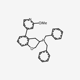 COc1cc(-c2cccc3c2CC(N(Cc2ccccc2)Cc2ccccc2)CO3)ccn1